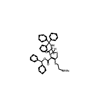 CC(=O)NCCSC1=C(C(=O)OC(c2ccccc2)c2ccccc2)N2C(=O)[C@@H](NC(c3ccccc3)(c3ccccc3)c3ccccc3)[C@@H]2SC1